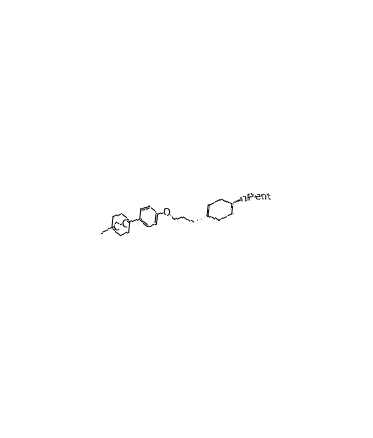 CCCCC[C@H]1CC[C@H](CCCOc2ccc(C34CCC(C)(CC3)CC4)cc2)CC1